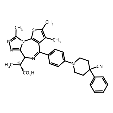 Cc1sc2c(c1C)C(c1ccc(N3CCC(C#N)(c4ccccc4)CC3)cc1)=NC([C@H](C)C(=O)O)c1nnc(C)n1-2